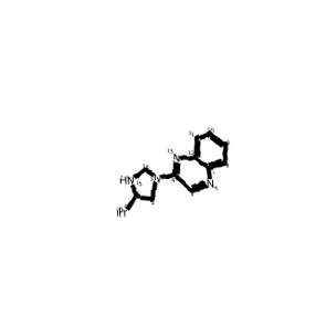 CC(C)C1CN(c2cnc3ccccc3n2)CN1